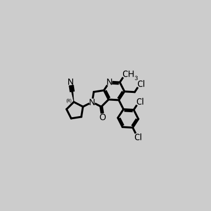 Cc1nc2c(c(-c3ccc(Cl)cc3Cl)c1CCl)C(=O)N(C1CCC[C@H]1C#N)C2